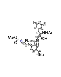 COC(=O)/C=C/c1cn(-c2ccc(CC(C)(C)C)cc2CNCC(O)C(Cc2cc(F)cc(F)c2)NC(C)=O)cn1